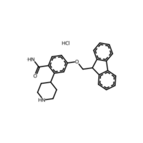 Cl.[NH]C(=O)c1ccc(OCC2c3ccccc3-c3ccccc32)cc1C1CCNCC1